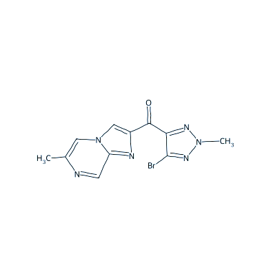 Cc1cn2cc(C(=O)c3nn(C)nc3Br)nc2cn1